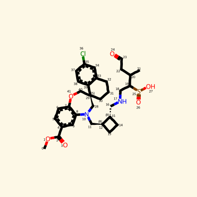 COC(=O)c1ccc2c(c1)N(C[C@@H]1CC[C@H]1CNCC(C(C)CC=O)S(=O)O)C[C@@]1(CCCc3cc(Cl)ccc31)CO2